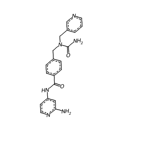 NC(=O)N(Cc1ccc(C(=O)Nc2ccnc(N)c2)cc1)Cc1cccnc1